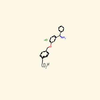 Cl.NC(c1ccccc1)c1cccc(OCc2ccc(C(=O)O)cc2)c1